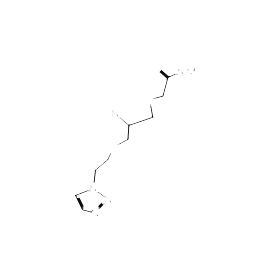 CNC(=O)COCC(N)COCCn1ccnn1